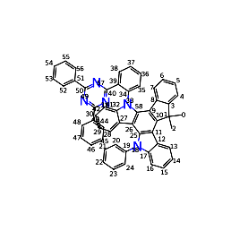 CC1(C)c2ccccc2-c2c1c1c3ccccc3n(-c3ccccc3)c1c1c3ccccc3n(-c3ccccc3-c3nc(-c4ccccc4)nc(-c4ccccc4)n3)c21